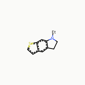 CCN1CCc2cc3ccsc3cc21